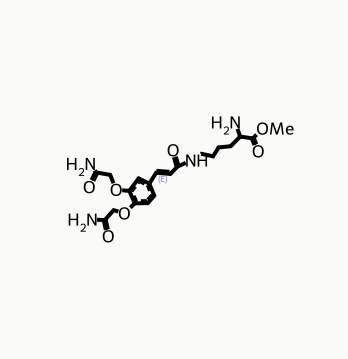 COC(=O)C(N)CCCCNC(=O)/C=C/c1ccc(OCC(N)=O)c(OCC(N)=O)c1